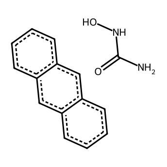 NC(=O)NO.c1ccc2cc3ccccc3cc2c1